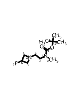 CN(CCN1CC(F)C1)C(=O)OC(C)(C)C